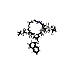 CC(C)(C)OC(=O)NC1CCCCC/C=C/C2CC2(C(=O)NS(=O)(=O)C2(C)CC2)NC(=O)C2CC(Oc3nccc4ccccc34)CN2C1=O